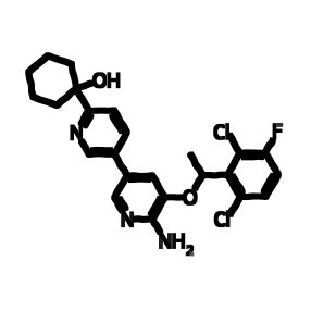 CC(Oc1cc(-c2ccc(C3(O)CCCCC3)nc2)cnc1N)c1c(Cl)ccc(F)c1Cl